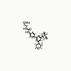 COCCNC(=O)Nc1ccc(-c2nc(N3CCOC[C@@H]3C)cc(C(C)(C)S(C)(=O)=O)n2)cc1